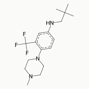 CN1CCN(c2ccc(NCC(C)(C)C)cc2C(F)(F)F)CC1